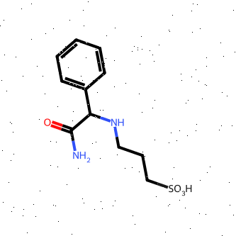 NC(=O)C(NCCCS(=O)(=O)O)c1ccccc1